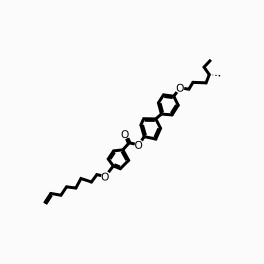 C=CCCCCCCOc1ccc(C(=O)Oc2ccc(-c3ccc(OCCC[C@@H](C)CC)cc3)cc2)cc1